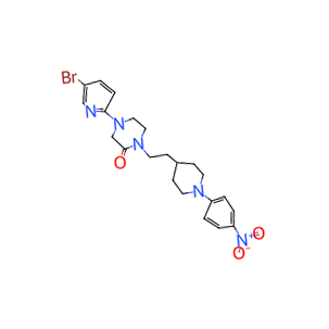 O=C1CN(c2ccc(Br)cn2)CCN1CCC1CCN(c2ccc([N+](=O)[O-])cc2)CC1